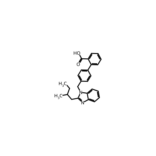 CCC(C)Cc1nc2ccccc2n1Cc1ccc(-c2ccccc2C(=O)O)cc1